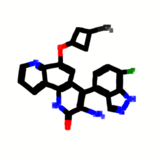 Nc1c(-c2ccc(F)c3[nH]ncc23)c2cc(OC3CC(C(F)(F)F)C3)c3ncccc3c2[nH]c1=O